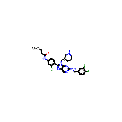 COCCC(=O)Nc1ccc(-c2nc3cnc(NCc4ccc(F)c(F)c4)nc3n2C[C@@H]2CCCNC2)c(Cl)c1